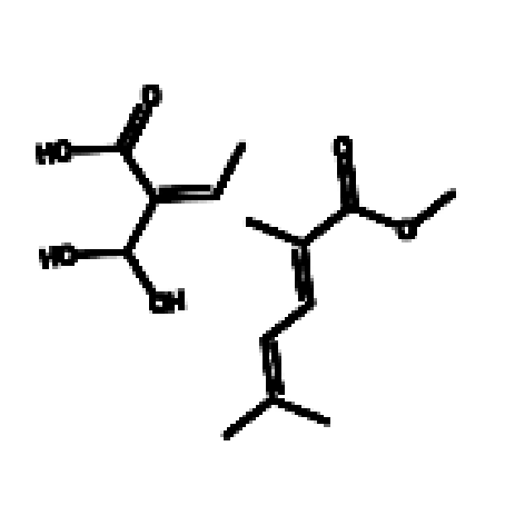 CC=C(C(=O)O)C(O)O.COC(=O)C(C)=CC=C(C)C